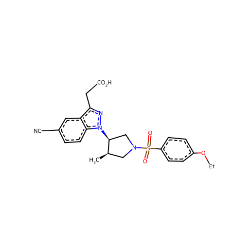 CCOc1ccc(S(=O)(=O)N2C[C@@H](C)[C@@H](n3nc(CC(=O)O)c4cc(C#N)ccc43)C2)cc1